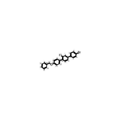 Fc1cc(-c2ccc(Br)cc2)ccc1-c1ccc(OCc2ccccc2)cc1